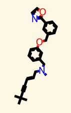 CN(C/C=C/C#CC(C)(C)C)Cc1cccc(OCc2cccc(-c3ncco3)c2)c1